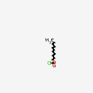 C=CCCCCCCCCCOC(=O)Cl